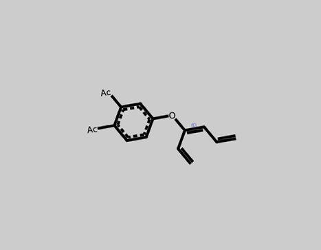 C=C/C=C(\C=C)Oc1ccc(C(C)=O)c(C(C)=O)c1